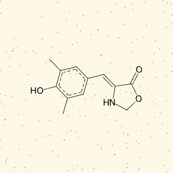 Cc1cc(/C=C2\NCOC2=O)cc(C)c1O